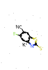 N#Cc1cc2sc([S-])nc2cc1F.[K+]